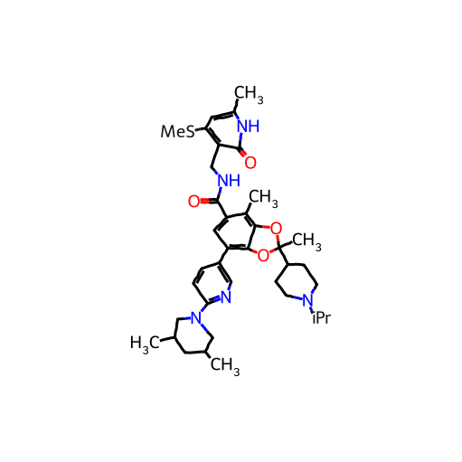 CSc1cc(C)[nH]c(=O)c1CNC(=O)c1cc(-c2ccc(N3CC(C)CC(C)C3)nc2)c2c(c1C)OC(C)(C1CCN(C(C)C)CC1)O2